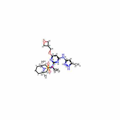 CCS(=O)(=O)N1[C@@H]2CCC[C@H]1CC(N(C)c1nc(Nc3cc(C)[nH]n3)cc(OCC3COC3)n1)C2